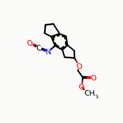 COC(=O)COC1Cc2cc3c(c(N=C=O)c2C1)CCC3